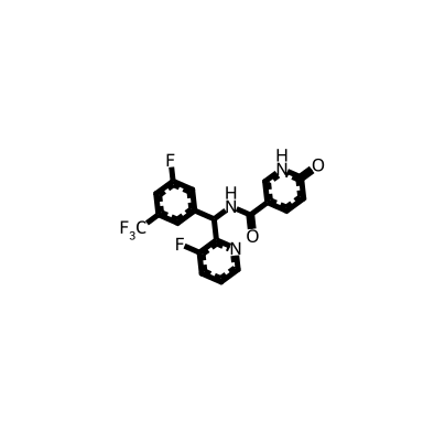 O=C(NC(c1cc(F)cc(C(F)(F)F)c1)c1ncccc1F)c1ccc(=O)[nH]c1